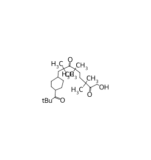 CC(C)(C)C(=O)C1CCC(CC(C)(C)C(=O)C(C)(C)CCC(C)(C)C(=O)CO)CC1